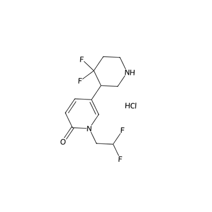 Cl.O=c1ccc(C2CNCCC2(F)F)cn1CC(F)F